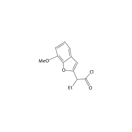 CCC(C(=O)Cl)c1cc2cccc(OC)c2o1